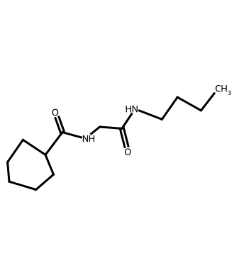 CCCCNC(=O)CNC(=O)C1CCCCC1